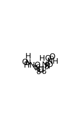 COc1nc(-c2cccc(-c3cccc(-c4ccn5c(=O)c(CN[C@@H]6CCOC[C@@H]6O)cnc5c4)c3Cl)c2Cl)ccc1CNC[C@@H]1CCC(=O)N1